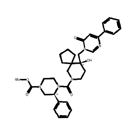 CC(C)(C)OC(=O)N1CCN(C(=O)N2CC[C@@](O)(Cn3cnc(-c4ccccc4)cc3=O)C3(CCCC3)C2)[C@@H](c2ccccc2)C1